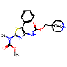 CCN(C(=O)OC(C)(C)C)c1nc(NC(=O)OCC23CCN(CC2)CC3)c(-c2ccccc2)s1